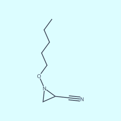 CCCCCON1CC1C#N